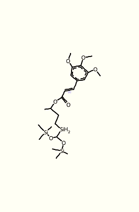 COc1cc(/C=C/C(=O)OC(C)CC[SiH2]C(O[Si](C)(C)C)O[Si](C)(C)C)cc(OC)c1OC